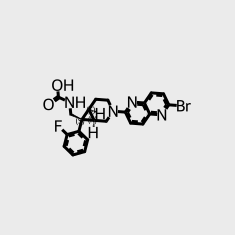 O=C(O)NC[C@]1(c2ccccc2F)[C@@H]2CN(c3ccc4nc(Br)ccc4n3)CC[C@@H]21